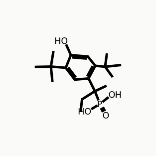 CCC(C)(c1cc(C(C)(C)C)c(O)cc1C(C)(C)C)P(=O)(O)O